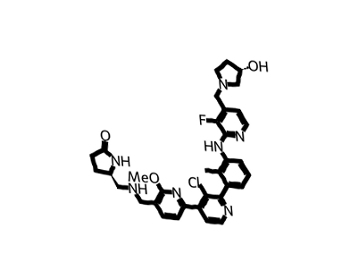 COc1nc(-c2ccnc(-c3cccc(Nc4nccc(CN5CC[C@H](O)C5)c4F)c3C)c2Cl)ccc1CNC[C@H]1CCC(=O)N1